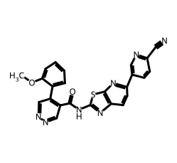 COc1ccccc1-c1cnncc1C(=O)Nc1nc2ccc(-c3ccc(C#N)nc3)nc2s1